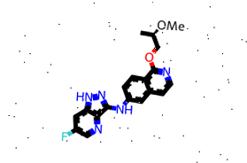 CO[C@H](C)COc1nccc2cc(Nc3n[nH]c4cc(F)cnc34)ccc12